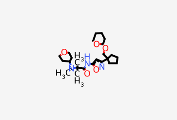 CN(C1CCOCC1)C(C)(C)C(=O)Nc1cc(C2(COC3CCCCO3)CCCC2)no1